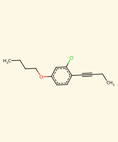 CCC#Cc1ccc(OCCCC)cc1Cl